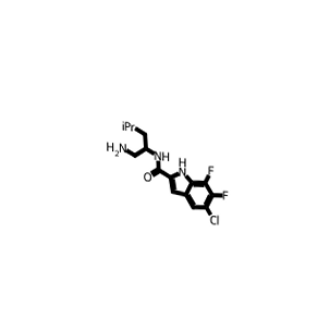 CC(C)CC(CN)NC(=O)c1cc2cc(Cl)c(F)c(F)c2[nH]1